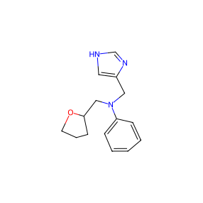 c1ccc(N(Cc2c[nH]cn2)CC2CCCO2)cc1